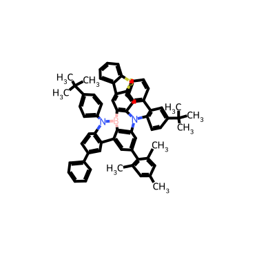 Cc1cc(C)c(-c2cc3c4c(c2)N(c2ccc(C(C)(C)C)cc2-c2ccccc2)c2cc5sc6ccccc6c5cc2B4N(c2ccc(C(C)(C)C)cc2)c2ccc(-c4ccccc4)cc2-3)c(C)c1